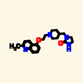 Cc1ccc2c(OCCN3CCC(CN4CCNC4=O)CC3)cccc2n1